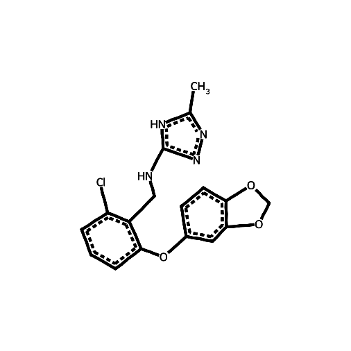 Cc1nnc(NCc2c(Cl)cccc2Oc2ccc3c(c2)OCO3)[nH]1